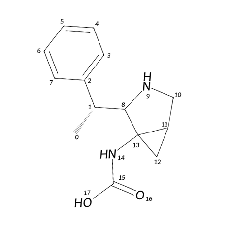 C[C@H](c1ccccc1)C1NCC2CC21NC(=O)O